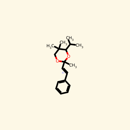 CC(C)C1OC(C)(/C=C/c2ccccc2)OCC1(C)C